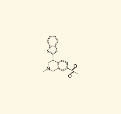 CN1Cc2cc(S(C)(=O)=O)ccc2C(c2cc3ccccc3s2)C1